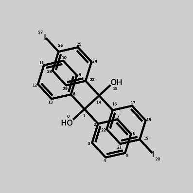 OC(c1ccccc1)(c1ccccc1)C(O)(c1ccc(I)cc1)c1ccc(I)cc1